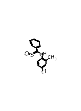 Cc1cc(Cl)ccc1NC(=S=O)c1ccccc1